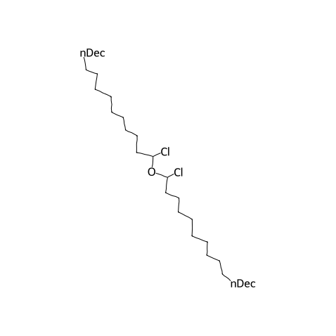 CCCCCCCCCCCCCCCCCCCC(Cl)OC(Cl)CCCCCCCCCCCCCCCCCCC